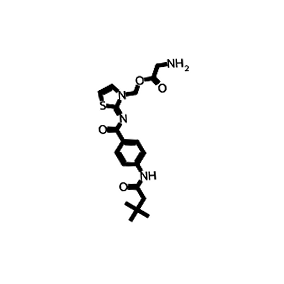 CC(C)(C)CC(=O)Nc1ccc(C(=O)N=c2sccn2COC(=O)CN)cc1